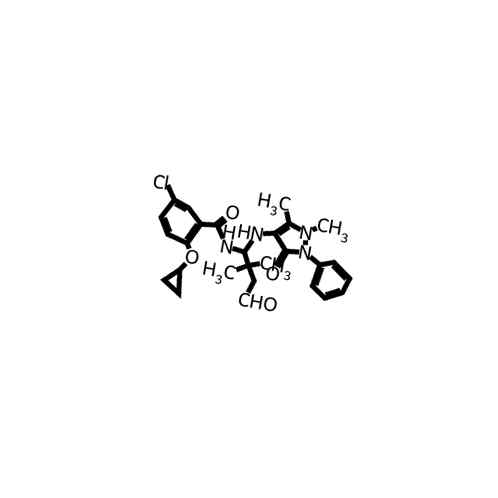 Cc1c(NC(NC(=O)c2cc(Cl)ccc2OC2CC2)C(C)(C)CC=O)c(=O)n(-c2ccccc2)n1C